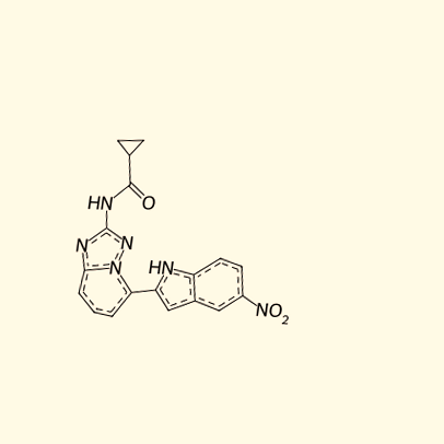 O=C(Nc1nc2cccc(-c3cc4cc([N+](=O)[O-])ccc4[nH]3)n2n1)C1CC1